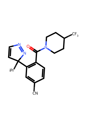 CC(C)C1(c2cc(C#N)ccc2C(=O)N2CCC(C(F)(F)F)CC2)C=CN=N1